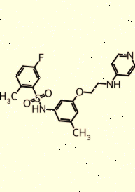 Cc1cc(NS(=O)(=O)c2cc(F)ccc2C)cc(OCCNc2ccncc2)c1